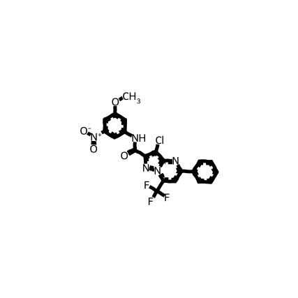 COc1cc(NC(=O)c2nn3c(C(F)(F)F)cc(-c4ccccc4)nc3c2Cl)cc([N+](=O)[O-])c1